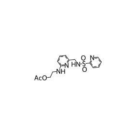 CC(=O)OCCNc1cccc(CNS(=O)(=O)c2ccccn2)n1